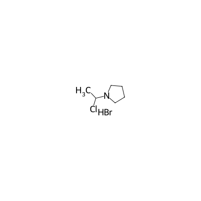 Br.CC(Cl)N1CCCC1